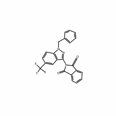 O=C1c2ccccc2C(=O)N1c1nn(Cc2ccccc2)c2ccc(C(F)(F)F)cc12